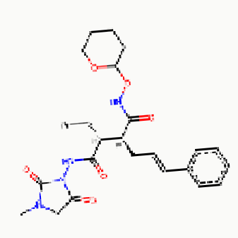 CC(C)C[C@@H](C(=O)NN1C(=O)CN(C)C1=O)[C@H](CC=Cc1ccccc1)C(=O)NOC1CCCCO1